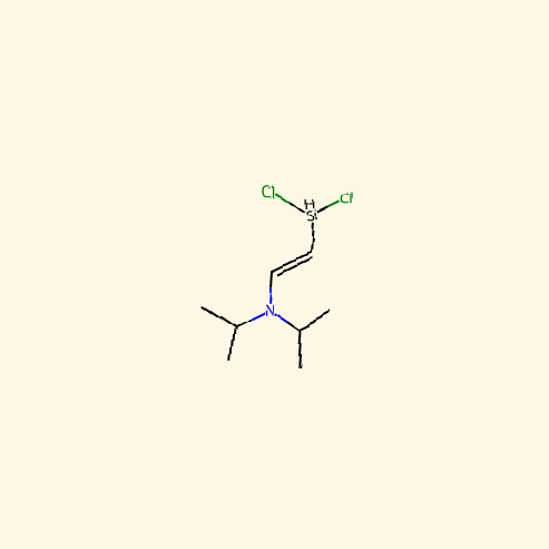 CC(C)N(C=C[SiH](Cl)Cl)C(C)C